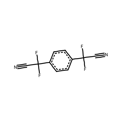 N#CC(F)(F)c1ccc(C(F)(F)C#N)cc1